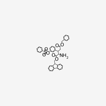 NC(C(=O)OCC1c2ccccc2-c2ccccc21)C(CC(=O)OCc1ccccc1)c1cccc(OS(=O)(=O)c2ccccc2)c1